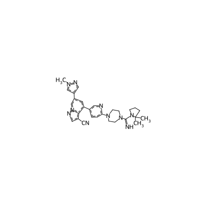 Cn1cc(-c2cc(-c3ccc(N4CCN(C(=N)N5CCCC5(C)C)CC4)nc3)c3c(C#N)cnn3c2)cn1